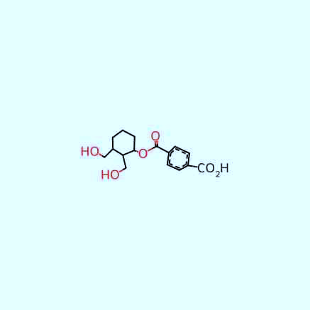 O=C(O)c1ccc(C(=O)OC2CCCC(CO)C2CO)cc1